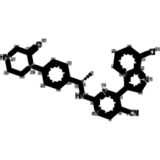 C[C@H](Nc1ncc(C#N)c(-c2cnc3c(Cl)cccn23)n1)c1ccc(N2CCNCC2=O)cc1